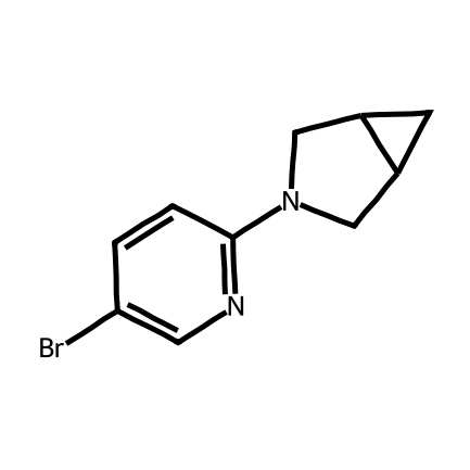 Brc1ccc(N2CC3CC3C2)nc1